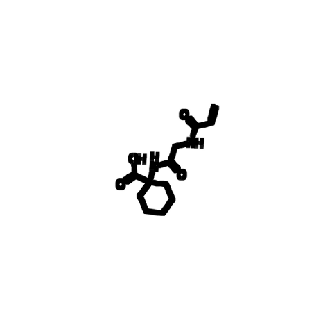 C=CC(=O)NCC(=O)NC1(C(=O)O)CCCCC1